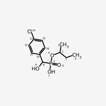 CCC(C)OP(=O)(O)C(O)c1ccc(Cl)cc1